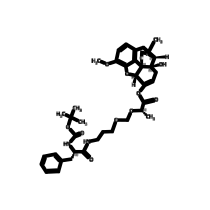 COc1ccc2c3c1O[C@H]1C(OC(=O)[C@H](C)OCOCCCNC(=O)[C@H](Cc4ccccc4)NC(=O)OC(C)(C)C)=CC[C@@]4(O)[C@@H](C2)N(C)CC[C@]314